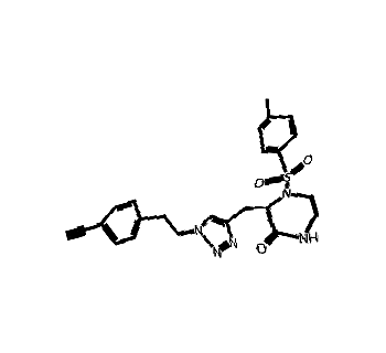 C#Cc1ccc(CCn2cc(C[C@@H]3C(=O)NCCN3S(=O)(=O)c3ccc(C)cc3)nn2)cc1